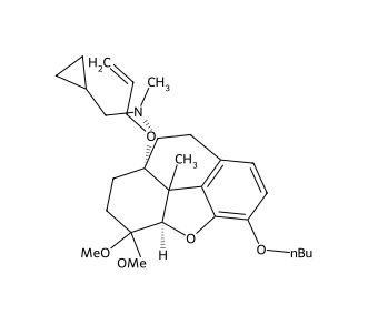 C=CCO[C@@]12CCC(OC)(OC)[C@@H]3Oc4c(OCCCC)ccc(c4C31C)C[C@H]2N(C)CC1CC1